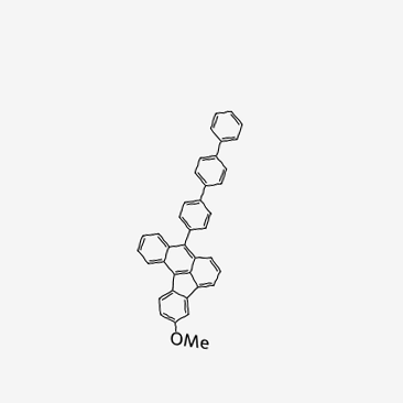 COc1ccc2c(c1)-c1cccc3c(-c4ccc(-c5ccc(-c6ccccc6)cc5)cc4)c4ccccc4c-2c13